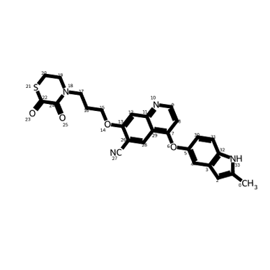 Cc1cc2cc(Oc3ccnc4cc(OCCCN5CCSC(=O)C5=O)c(C#N)cc34)ccc2[nH]1